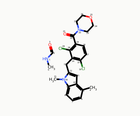 CNC=O.Cc1cccc2c1cc(Cc1c(Cl)ccc(C(=O)N3CCOCC3)c1Cl)n2C